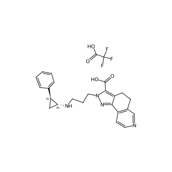 O=C(O)C(F)(F)F.O=C(O)c1c2c(nn1CCCN[C@@H]1C[C@H]1c1ccccc1)-c1ccncc1CC2